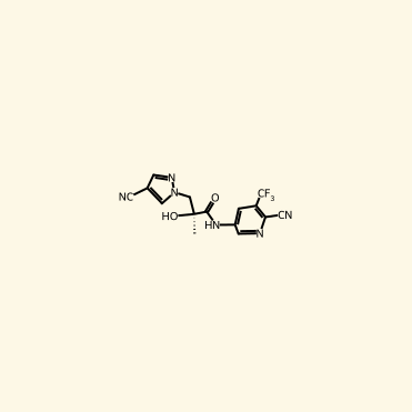 C[C@](O)(Cn1cc(C#N)cn1)C(=O)Nc1cnc(C#N)c(C(F)(F)F)c1